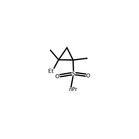 CCCS(=O)(=O)C1(C)CC1(C)CC